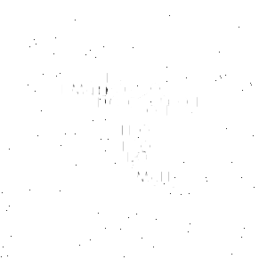 O.O.O.O.O.O.O=C(O)OC(=O)O.[MgH2].[MgH2]